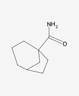 NC(=O)C12CCCC(CC1)C2